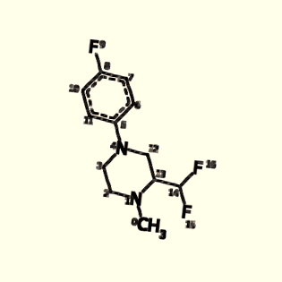 CN1CCN(c2ccc(F)cc2)CC1C(F)F